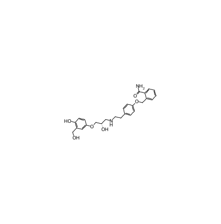 NC(=O)c1ccccc1COc1ccc(CCNC[C@H](O)COc2ccc(O)c(CO)c2)cc1